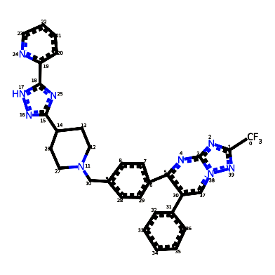 FC(F)(F)c1nc2nc(-c3ccc(CN4CCC(c5n[nH]c(-c6ccccn6)n5)CC4)cc3)c(-c3ccccc3)cn2n1